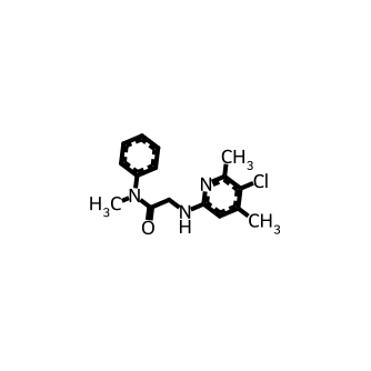 Cc1cc(NCC(=O)N(C)c2ccccc2)nc(C)c1Cl